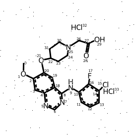 COc1cc2ncnc(Nc3cccc(Cl)c3F)c2cc1OC1CCN(CC(=O)O)CC1.Cl.Cl